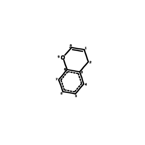 [C]1=CCc2ccc[c]c2O1